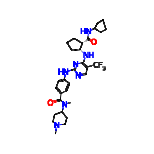 CN1CCC(N(C)C(=O)c2ccc(Nc3ncc(C(F)(F)F)c(N[C@@H]4CCC[C@@H]4C(=O)NC4CCCC4)n3)cc2)CC1